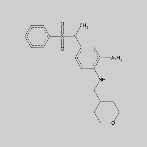 CN(c1ccc(NCC2CCOCC2)c([AsH2])c1)S(=O)(=O)c1ccccc1